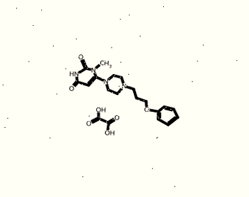 Cn1c(N2CCN(CCCOc3ccccc3)CC2)cc(=O)[nH]c1=O.O=C(O)C(=O)O